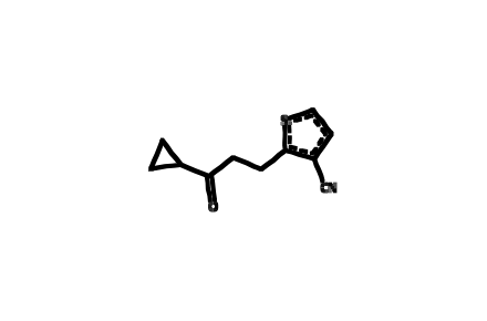 N#Cc1ccsc1CCC(=O)C1CC1